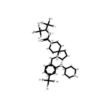 O=C(OC(C(F)(F)F)C(F)(F)F)N1CCC2(CCCN2Cc2ccc(C(F)(F)F)cc2OC2CCSCC2)CC1